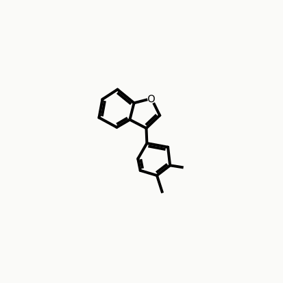 Cc1ccc(-c2coc3ccccc23)cc1C